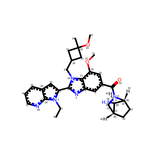 CCn1c(-c2nc3cc(C(=O)N4C[C@H]5CC[C@@H]4[C@@H]5N)cc(OC)c3n2CC2CC(C)(OC)C2)cc2cccnc21